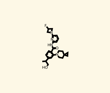 CC(CO)c1ccc(C(=O)Nc2cccc(N3CC(F)C3)n2)c(N2CCC3(CC2)CC3)c1